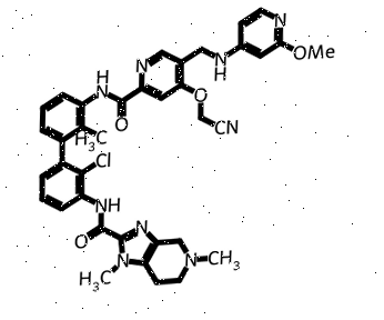 COc1cc(NCc2cnc(C(=O)Nc3cccc(-c4cccc(NC(=O)c5nc6c(n5C)CCN(C)C6)c4Cl)c3C)cc2OCC#N)ccn1